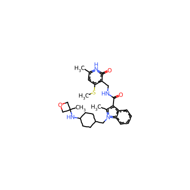 CSc1cc(C)[nH]c(=O)c1CNC(=O)c1c(C)n(CC2CCC(NC3(C)COC3)CC2)c2ccccc12